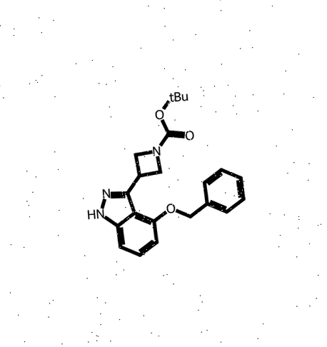 CC(C)(C)OC(=O)N1CC(c2n[nH]c3cccc(OCc4ccccc4)c23)C1